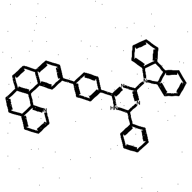 c1ccc(C2N=C(n3c4ccccc4c4ccccc43)N=C(c3ccc(-c4ccc5ccc6ccc7cccnc7c6c5c4)cc3)N2)cc1